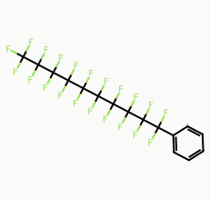 FC(F)(F)C(F)(F)C(F)(F)C(F)(F)C(F)(F)C(F)(F)C(F)(F)C(F)(F)C(F)(F)C(F)(F)c1[c]cccc1